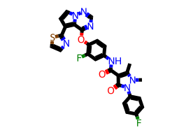 Cc1c(C(=O)Nc2ccc(Oc3ncnn4ccc(-c5nccs5)c34)c(F)c2)c(=O)n(-c2ccc(F)cc2)n1C